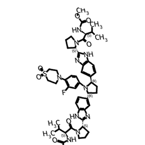 COC(=O)N[C@H](C(=O)N1CCC[C@H]1c1nc2cc([C@H]3CC[C@H](c4ccc5[nH]c([C@@H]6CCCN6C(=O)[C@@H](NC(=O)O)C(C)C)nc5c4)N3c3ccc(N4CCS(=O)(=O)CC4)c(F)c3)ccc2[nH]1)C(C)C